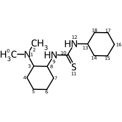 CN(C)C1CCCCC1NC(=S)NC1CCCCC1